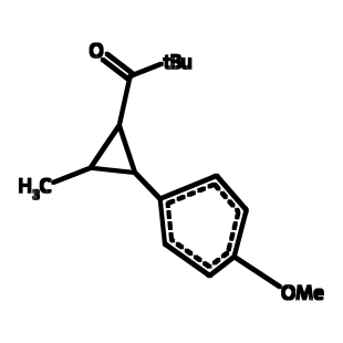 COc1ccc(C2C(C)C2C(=O)C(C)(C)C)cc1